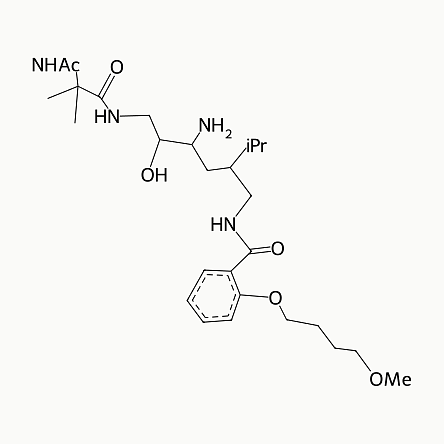 COCCCCOc1ccccc1C(=O)NCC(CC(N)C(O)CNC(=O)C(C)(C)NC(C)=O)C(C)C